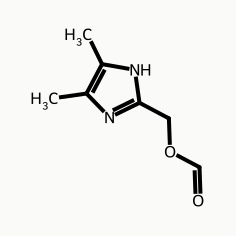 Cc1nc(COC=O)[nH]c1C